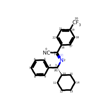 N#C/C(=N\[C@@H](c1ccccc1)C1CCCCC1)c1ccc(C(F)(F)F)cc1